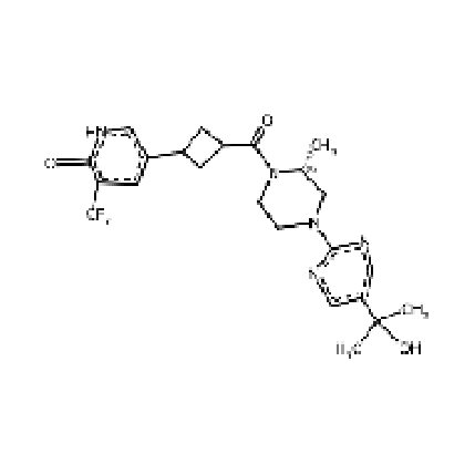 C[C@@H]1CN(c2ncc(C(C)(C)O)cn2)CCN1C(=O)C1CC(c2c[nH]c(=O)c(C(F)(F)F)c2)C1